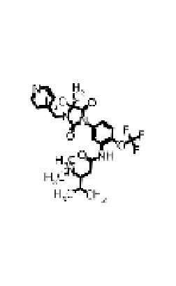 CC(C)C(CC(=O)Nc1cc(N2C(=O)N(Cc3ccncc3)C(C)(C)C2=O)ccc1OC(F)(F)F)N(C)C